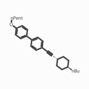 CCCCCOc1ccc(-c2ccc(C#C[C@H]3CC[C@H](CCCC)CC3)cc2)cc1